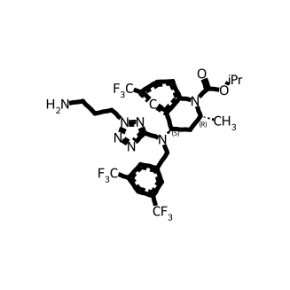 CC(C)OC(=O)N1c2ccc(C(F)(F)F)cc2[C@@H](N(Cc2cc(C(F)(F)F)cc(C(F)(F)F)c2)c2nnn(CCCN)n2)C[C@H]1C